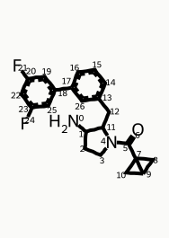 NC1CCN(C(=O)C23CC2C3)C1Cc1cccc(-c2cc(F)cc(F)c2)c1